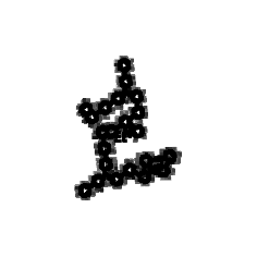 CCn1c2ccccc2c2c(-c3cccc(-c4cccc(N(c5ccc(-c6ccccc6)cc5)c5ccc(-c6ccc(-c7cccc8ccccc78)cc6)cc5)c4)c3)ccc(-c3ccc4c(-c5ccc(-c6ccc(N(c7ccc(-c8ccccc8)cc7)c7cccc(-c8cccc(-c9cccc%10c9c9ccccc9n%10-c9cccc%10c9sc9ccccc9%10)c8)c7)cc6)cc5)cccc4c3)c21